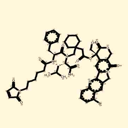 CC[C@@]1(OC(=O)CC2(CN(C(=O)[C@H](Cc3ccccc3)NC(=O)CCCCCN3C(=O)C=CC3=O)[C@@H](CC(C)C)C(N)=O)CCCCC2)C(=O)OCc2c1cc1n(c2=O)Cc2cc3c(Br)cccc3nc2-1